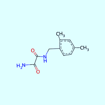 Cc1ccc(CNC(=O)C(N)=O)c(C)c1